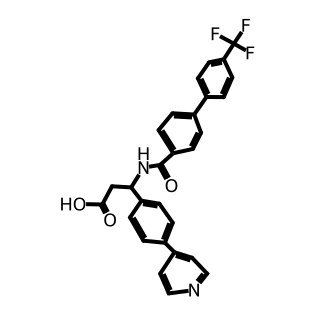 O=C(O)CC(NC(=O)c1ccc(-c2ccc(C(F)(F)F)cc2)cc1)c1ccc(-c2ccncc2)cc1